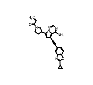 C=CC(=O)N1CCC(c2cc(C#Cc3ccc4oc(C5CC5)nc4c3)c3c(N)ncnn23)C1